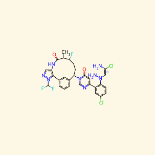 CC1C(=O)Nc2cnn(C(F)F)c2-c2cccc(c2)C(n2cnc(-c3cc(Cl)ccc3N(N)/C=C(\N)Cl)cc2=O)CCC1F